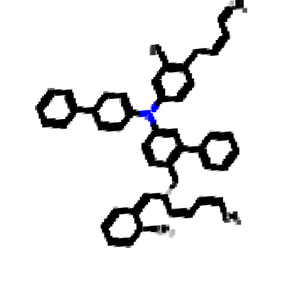 C=C/C=C\Cc1ccc(N(C2=CCC(c3ccccc3)C=C2)c2ccc(C[C@H](/C=C\C=C/C)/C=C3/C=CC=C[C@@H]3C)c(-c3ccccc3)c2)cc1C(C)C